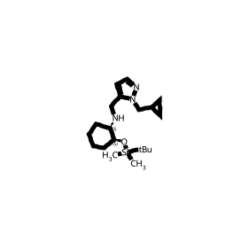 CC(C)(C)[Si](C)(C)O[C@H]1CCCC[C@@H]1NCc1ccnn1CC1CC1